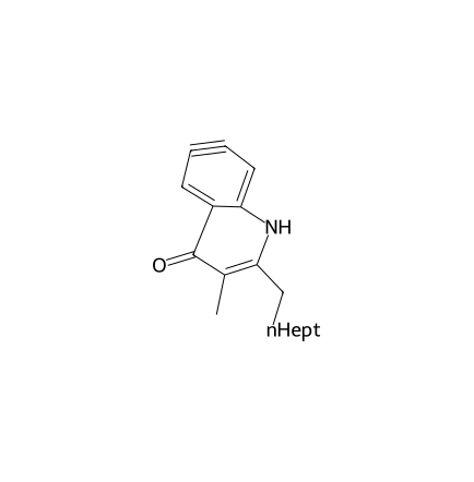 CCCCCCCCc1[nH]c2cc#ccc2c(=O)c1C